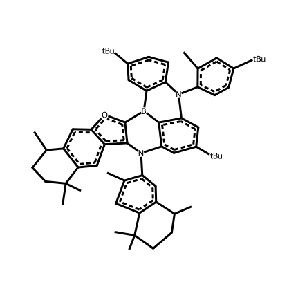 Cc1cc(C(C)(C)C)ccc1N1c2ccc(C(C)(C)C)cc2B2c3oc4cc5c(cc4c3N(c3cc4c(cc3C)C(C)(C)CCC4C)c3cc(C(C)(C)C)cc1c32)C(C)(C)CCC5C